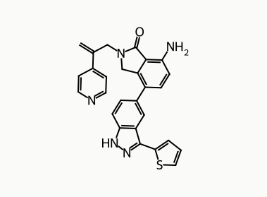 C=C(CN1Cc2c(-c3ccc4[nH]nc(-c5cccs5)c4c3)ccc(N)c2C1=O)c1ccncc1